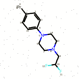 CC(C)c1ccc(N2CCN(CC(F)F)CC2)cc1